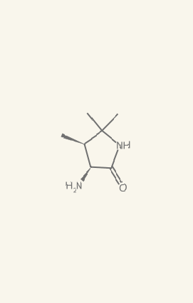 C[C@@H]1[C@H](N)C(=O)NC1(C)C